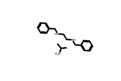 CC(C)N.c1ccc(CNCCNCc2ccccc2)cc1